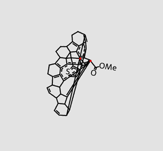 COC(=O)CCCC1(c2cccs2)C23c4c5c6c7c8c4=C4CCC=8C8C=CC9C%10C=CC%11C%12=c%13c%14c(c-5c5c%13=C(CC%12)C(CCC42)C513)C6=C(C9C78)C%10C%14%11